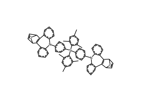 Cc1cc(C)c([Si](c2ccc(N3c4ccccc4C4=C(c5ccccc53)C3C=CC4O3)cc2)(c2ccc(N3c4ccccc4C4=C(c5ccccc53)C3C=CC4O3)cc2)c2c(C)cc(C)cc2C)c(C)c1